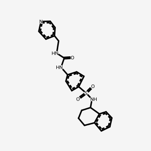 O=C(NCc1ccncc1)Nc1ccc(S(=O)(=O)NC2CCCc3ccccc32)cc1